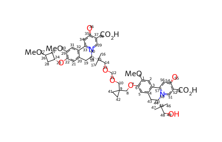 COc1cc2c(cc1OCC1(COCOCC(C)(C)[C@@H]3Cc4cc(O[C@H]5C[C@H](OC)C5)c(OC)cc4-c4cc(=O)c(C(=O)O)cn43)CC1)C[C@@H](C(C)(C)CO)n1cc(C(=O)O)c(=O)cc1-2